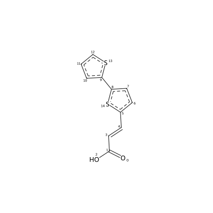 O=C(O)C=Cc1ccc(-c2cccs2)s1